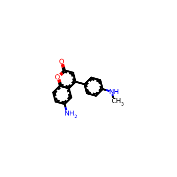 CNc1ccc(-c2cc(=O)oc3ccc(N)cc23)cc1